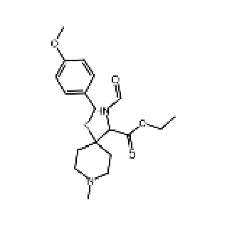 CCOC(=O)C(NC=O)C1(SCc2ccc(OC)cc2)CCN(C)CC1